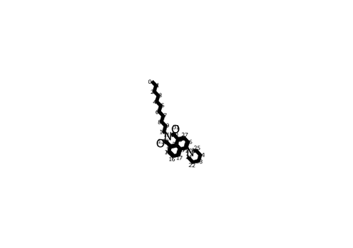 CCCCCCCCCCCN1C(=O)c2cccc3c(N4CCCCC4)ccc(c23)C1=O